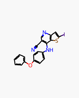 N#Cc1cnc2cc(I)sc2c1Nc1ccc(Oc2ccccc2)cc1